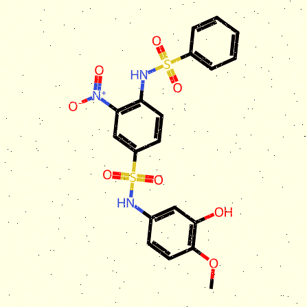 COc1ccc(NS(=O)(=O)c2ccc(NS(=O)(=O)c3ccccc3)c([N+](=O)[O-])c2)cc1O